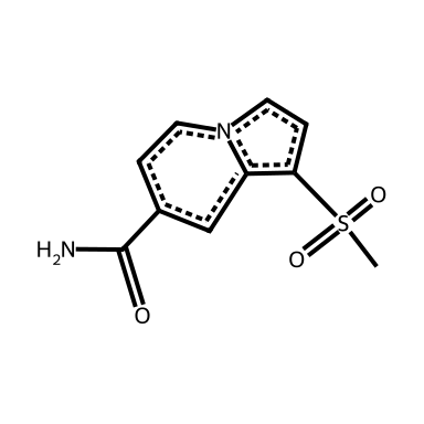 CS(=O)(=O)c1ccn2ccc(C(N)=O)cc12